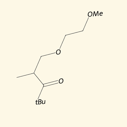 COCCOCC(C)C(=O)C(C)(C)C